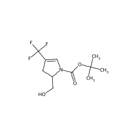 CC(C)(C)OC(=O)N1C=C(C(F)(F)F)CC1CO